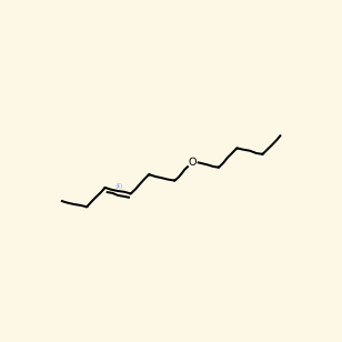 CC/C=C/CCOCCCC